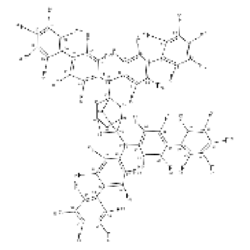 Fc1c(F)c(F)c(-c2c(F)c(F)c(N(c3c(F)c(F)c(-c4c(F)c(F)c(F)c(F)c4F)c(F)c3F)C34CC5CC(C3)C(N(c3c(F)c(F)c(-c6c(F)c(F)c(F)c(F)c6F)c(F)c3F)c3c(F)c(F)c(-c6c(F)c(F)c(F)c(F)c6F)c(F)c3F)(C5)C4)c(F)c2F)c(F)c1F